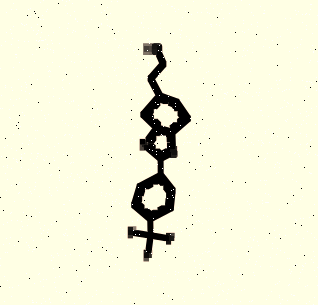 OCCc1ccc2sc(-c3ccc(C(F)(F)F)cc3)nc2c1